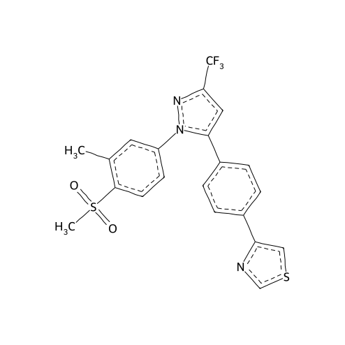 Cc1cc(-n2nc(C(F)(F)F)cc2-c2ccc(-c3cscn3)cc2)ccc1S(C)(=O)=O